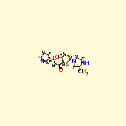 C[C@@H]1CN(c2ccc3oc(-c4cccnc4)cc(=O)c3c2)CCN1